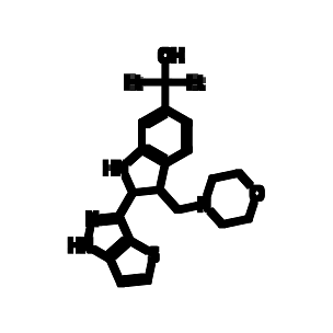 CCC(O)(CC)c1ccc2c(c1)NC(c1n[nH]c3ccsc13)C2CN1CCOCC1